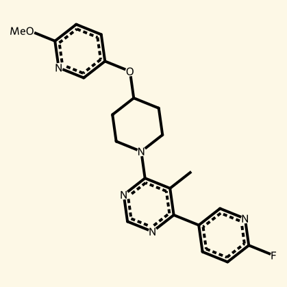 COc1ccc(OC2CCN(c3ncnc(-c4ccc(F)nc4)c3C)CC2)cn1